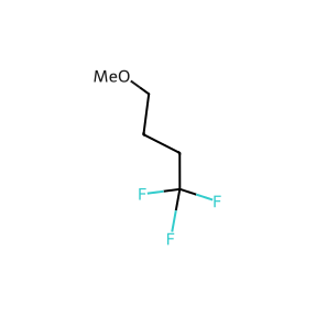 [CH2]OCCCC(F)(F)F